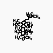 CC(=O)C1=C(C)CC2(C)CC3(C)Cc4c(C(C)C)cc(CCC(=O)CN(C)C)c(C)c4C(O)C3=C(C)C2(C)C1=O